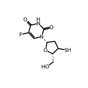 O=c1[nH]c(=O)n([C@@H]2CC(S)[C@H](CO)O2)cc1F